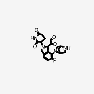 O=CC(=O)C1c2c(ccc(F)c2N2CC3CC2CN3)CN1C1CCC(=O)NC1=O